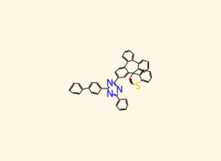 c1ccc(-c2ccc(-c3nc(-c4ccccc4)nc(-c4ccc5c(c4)C4(c6ccccc6Sc6ccccc64)c4ccccc4-c4ccccc4-5)n3)cc2)cc1